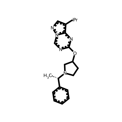 CC(C)c1cnn2cnc(OC3CCN([C@@H](C)c4ccccc4)C3)nc12